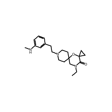 CCN1CC2(CCN(CCc3cccc(NC)c3)CC2)OC2(CC2)C1=O